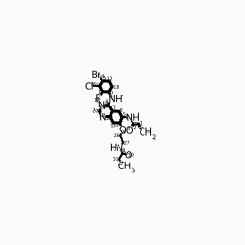 C=CC(=O)Nc1cc2c(Nc3ccc(Br)c(Cl)c3F)ncnc2cc1OCCNC(=O)CC